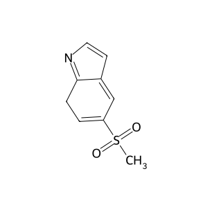 CS(=O)(=O)C1=CCC2=NC=CC2=C1